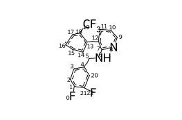 Fc1ccc(CNc2ncccc2-c2cc[c]cc2C(F)(F)F)cc1F